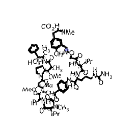 CC[C@H](C)[C@@H]([C@@H](CC(=O)N1CCC[C@H]1[C@H](OC)[C@@H](C)C(=O)N[C@H](C)[C@@H](O)c1ccccc1)OC)N(C)C(=O)C(NC(=O)[C@H](C(C)C)N(C)C(=O)OCc1ccc(NC(=O)C(CCCNC(N)=O)NC(=O)[C@@H](NC(=O)CO/N=C/c2cc(CC(NC)C(=O)O)ccc2O)C(C)C)cc1)C(C)C